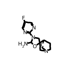 NC1OC2(CN3CCC2CC3)CN1c1ncc(F)cn1